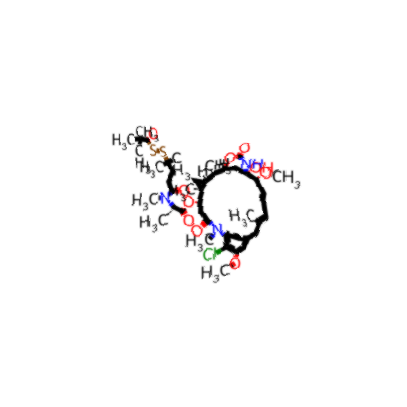 COc1cc2cc(c1Cl)N(C)C(=O)C[C@H](OC(=O)[C@H](C)N(C)C(=O)CCC(C)(C)SSC(=O)C(C)(C)C)[C@@]1(C)C[C@H]1[C@H](C)[C@@H]1C[C@@](O)(NC(=O)O1)[C@H](OC)/C=C/C=C(\C)C2